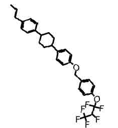 CCCc1ccc(C2CCC(c3ccc(OCc4ccc(OC(F)(F)C(F)C(F)(F)F)cc4)cc3)CC2)cc1